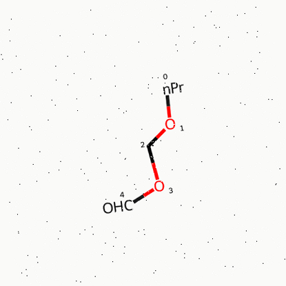 CCCO[CH]OC=O